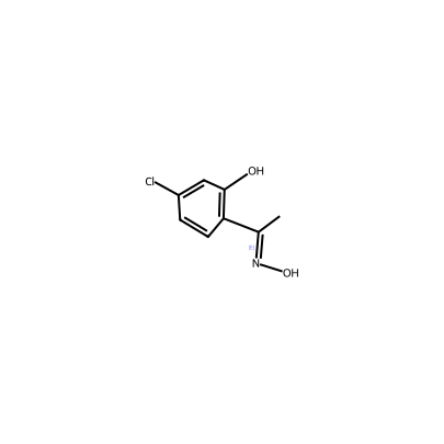 C/C(=N\O)c1ccc(Cl)cc1O